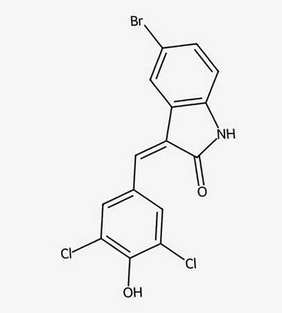 O=C1Nc2ccc(Br)cc2C1=Cc1cc(Cl)c(O)c(Cl)c1